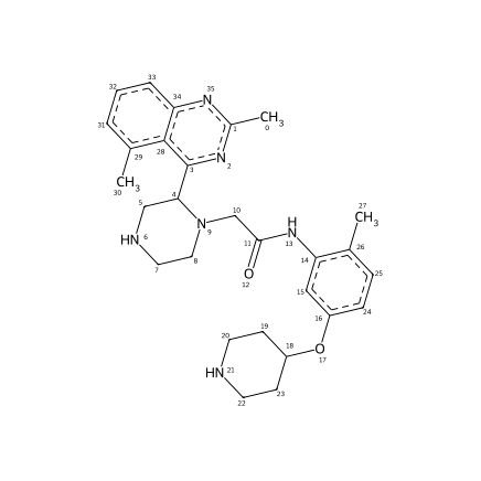 Cc1nc(C2CNCCN2CC(=O)Nc2cc(OC3CCNCC3)ccc2C)c2c(C)cccc2n1